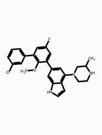 COc1c(-c2cccc(Cl)c2)cc(F)cc1-c1cc(N2CCNC(C)C2)c2cc[nH]c2c1